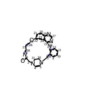 O=C1CN2C=CN(/C=c3\cccc\c3=N\c3ncnc4ccc(cc34)O/C=C/C=N/1)CC2